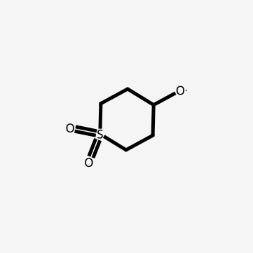 [O]C1CCS(=O)(=O)CC1